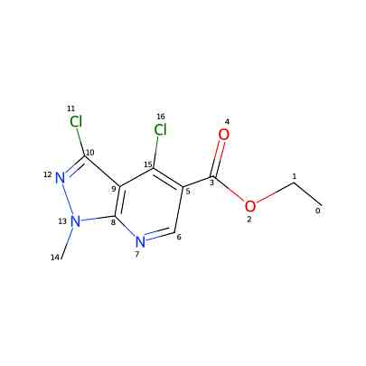 CCOC(=O)c1cnc2c(c(Cl)nn2C)c1Cl